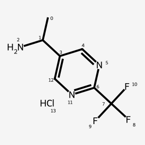 CC(N)c1cnc(C(F)(F)F)nc1.Cl